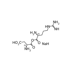 N=C(N)NCCC[C@H](N)C(=O)OC(=O)[C@@H](N)CC(=O)O.[NaH]